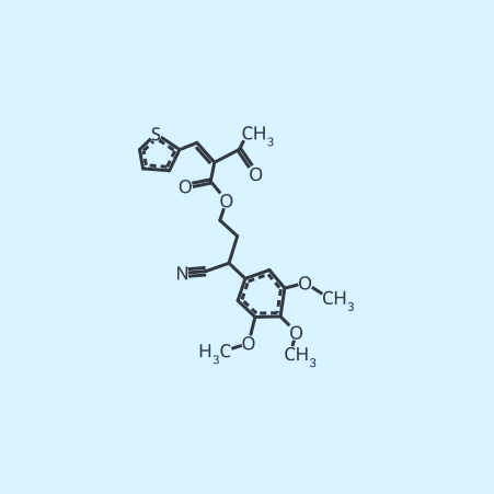 COc1cc(C(C#N)CCOC(=O)/C(=C\c2cccs2)C(C)=O)cc(OC)c1OC